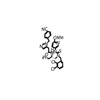 COc1ccc(NC(=S)N(Cc2cccc(Cl)c2Cl)C[C@H](CC(C)C)NC(=O)Cc2cncn2Cc2ccc(C#N)cc2)cn1